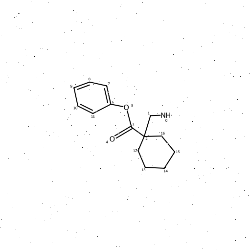 [NH]CC1(C(=O)Oc2ccccc2)CCCCC1